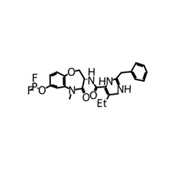 CC/C(C)=C(/NC(=N)Cc1ccccc1)C(=O)N[C@H]1COc2ccc(OP(F)F)cc2N(C)C1=O